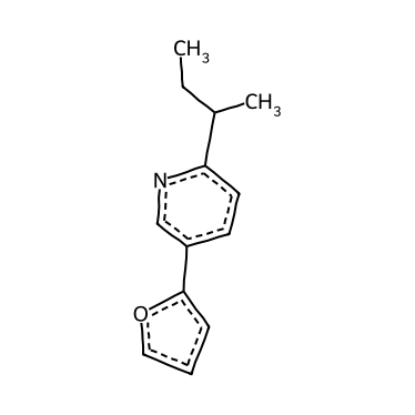 CCC(C)c1ccc(-c2ccco2)cn1